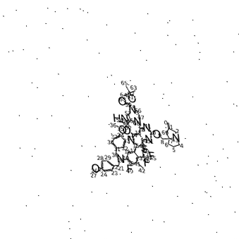 C=C1CN2CCCC2(COc2nc3c4c(nc(-c5cc(N(Cc6ccc(OC)cc6)Cc6ccc(OC)cc6)c(F)c(C)c5C(F)(F)F)c(F)c4n2)O[C@@H](C)[C@]24NC2N(C(=O)OC(C)(C)C)CCN34)C1